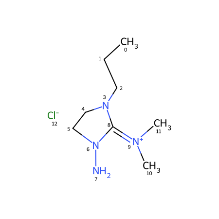 CCCN1CCN(N)C1=[N+](C)C.[Cl-]